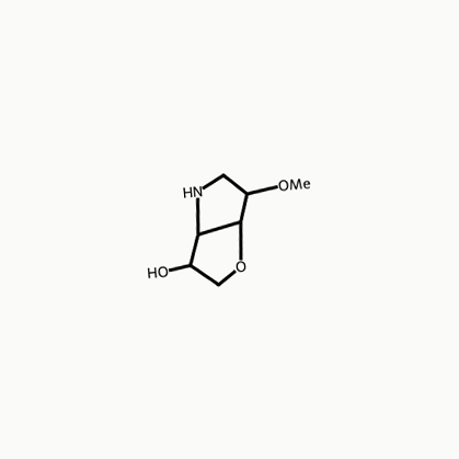 COC1CNC2C(O)COC12